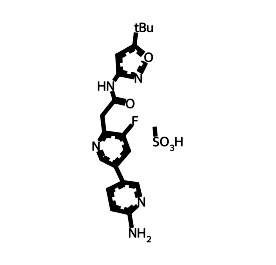 CC(C)(C)c1cc(NC(=O)Cc2ncc(-c3ccc(N)nc3)cc2F)no1.CS(=O)(=O)O